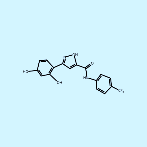 O=C(Nc1ccc(C(F)(F)F)cc1)c1cc(-c2ccc(O)cc2O)n[nH]1